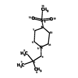 CC(C)(C)CN1CCC(S(C)(=O)=O)CC1